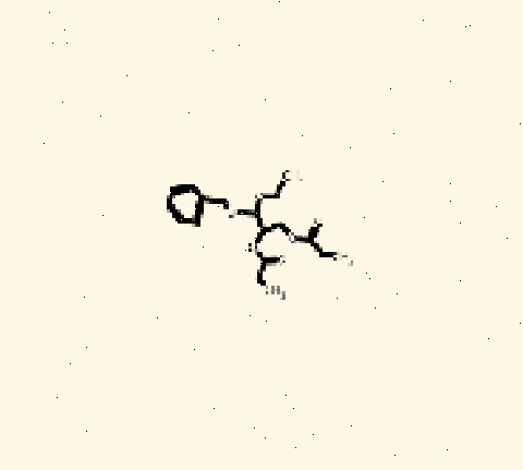 CCOC(OCc1ccccc1)C(COC(=O)CC)OC(=O)CC